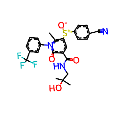 Cc1c([S+]([O-])c2ccc(C#N)cc2)cc(C(=O)NCC(C)(C)O)c(=O)n1-c1cccc(C(F)(F)F)c1